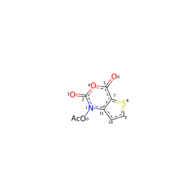 CC(=O)On1c(=O)oc(=O)c2sccc21